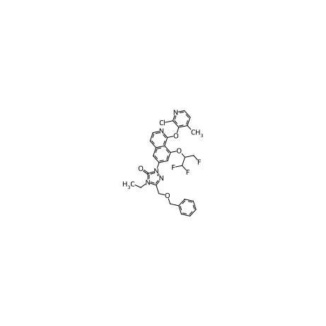 CCn1c(COCc2ccccc2)nn(-c2cc(OC(CF)C(F)F)c3c(Oc4c(C)ccnc4Cl)nccc3c2)c1=O